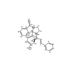 O=C(/C=C/c1ccccc1)N1CCN2C(=O)c3ccccc3C12c1ccc(Cl)cc1